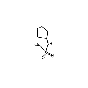 CN=S(=O)(NC1CCCC1)C(C)(C)C